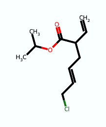 C=CC(CC=CCCl)C(=O)OC(C)C